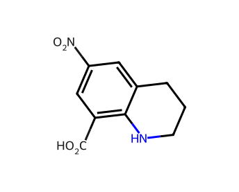 O=C(O)c1cc([N+](=O)[O-])cc2c1NCCC2